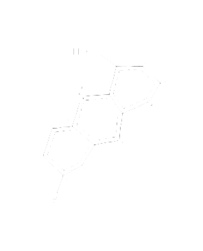 O=C(O)c1cccc2cc3cc(Br)ccc3nc12